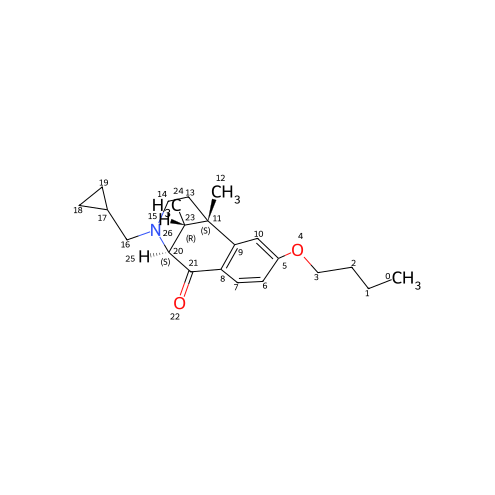 CCCCOc1ccc2c(c1)[C@@]1(C)CCN(CC3CC3)[C@H](C2=O)[C@@H]1C